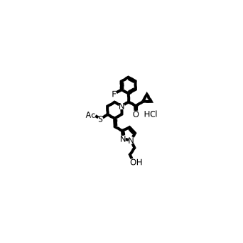 CC(=O)SC1CCN(C(C(=O)C2CC2)c2ccccc2F)CC1=Cc1ccn(CCO)n1.Cl